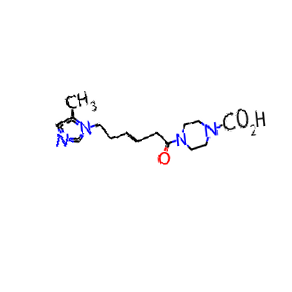 Cc1cncn1CCCCCC(=O)N1CCN(C(=O)O)CC1